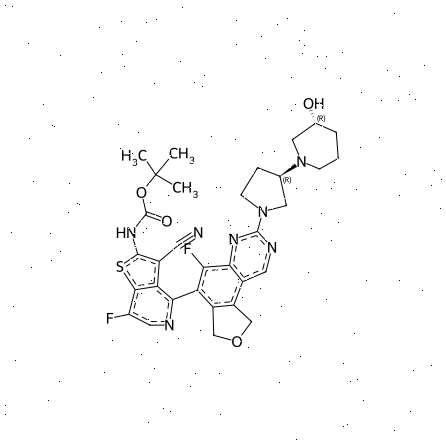 CC(C)(C)OC(=O)Nc1sc2c(F)cnc(-c3c4c(c5cnc(N6CC[C@@H](N7CCC[C@@H](O)C7)C6)nc5c3F)COC4)c2c1C#N